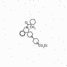 CCOC(=O)N1CCC(N2CCC3(CC2)CN(C(=O)C2(C)CCCCC2)Cc2ccccc23)CC1